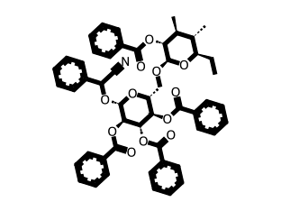 CC[C@H]1O[C@@H](OC[C@H]2O[C@@H](OC(C#N)c3ccccc3)[C@H](OC(=O)c3ccccc3)[C@@H](OC(=O)c3ccccc3)[C@@H]2OC(=O)c2ccccc2)[C@H](OC(=O)c2ccccc2)[C@@H](C)[C@@H]1C